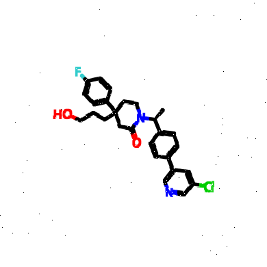 C[C@@H](c1ccc(-c2cncc(Cl)c2)cc1)N1CCC(CCCO)(c2ccc(F)cc2)CC1=O